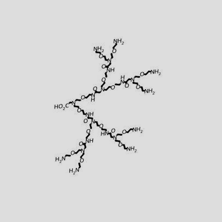 NCCOCCN(CCOCCN)CC(=O)NCCOCCN(CCOCCNC(=O)CN(CCOCCN)CCOCCN)CC(=O)NCCOCCN(CCOCCNC(=O)CN(CCOCCNC(=O)CN(CCOCCN)CCOCCN)CCOCCNC(=O)CN(CCOCCN)CCOCCN)CC(=O)O